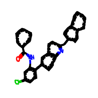 O=C(Nc1cc(Cl)ccc1-c1ccc2nc(-c3ccc4ccccc4c3)ccc2c1)c1ccccc1